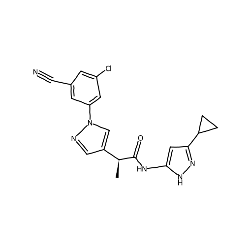 C[C@H](C(=O)Nc1cc(C2CC2)n[nH]1)c1cnn(-c2cc(Cl)cc(C#N)c2)c1